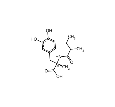 CCC(C)C(=O)N[C@@](C)(Cc1ccc(O)c(O)c1)C(=O)O